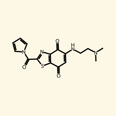 CN(C)CCNC1=CC(=O)c2sc(C(=O)n3cccc3)nc2C1=O